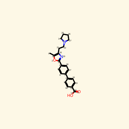 Cc1oc(-c2ccc(-c3ccc(C(=O)O)cc3)cc2)nc1CCN1CCCC1